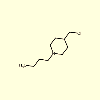 CCCCN1CCC(CCl)CC1